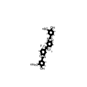 CCCCCCc1cc(-c2nc3cc(C(c4ccc5oc(-c6ccc(O)c(CCCC)c6)nc5c4)(C(F)(F)F)C(F)(F)F)ccc3o2)ccc1O